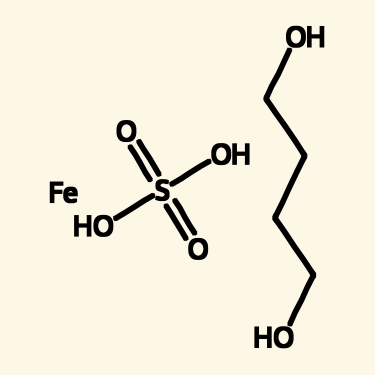 O=S(=O)(O)O.OCCCCO.[Fe]